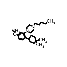 CCCCCN1CCN(c2cc(OC)ccc2C2CCC(C)(C)CC2)CC1